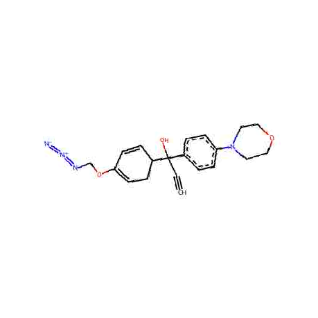 C#CC(O)(c1ccc(N2CCOCC2)cc1)C1C=CC(OCN=[N+]=[N-])=CC1